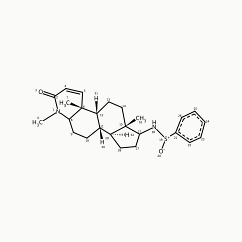 CN1C(=O)C=C[C@@]2(C)C1CC[C@@H]1[C@H]2CC[C@]2(C)C(N[S+]([O-])c3ccccc3)CC[C@@H]12